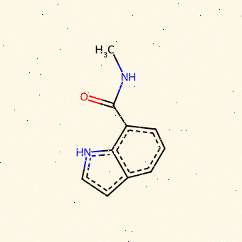 CNC(=O)c1cccc2cc[nH]c12